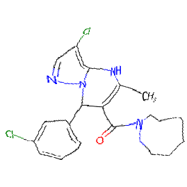 CC1=C(C(=O)N2CCCCC2)C(c2cccc(Cl)c2)n2ncc(Cl)c2N1